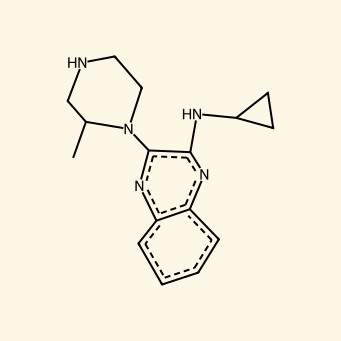 CC1CNCCN1c1nc2ccccc2nc1NC1CC1